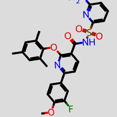 COc1ccc(-c2ccc(C(=O)NS(=O)(=O)c3cccc(N)n3)c(Oc3c(C)cc(C)cc3C)n2)cc1F